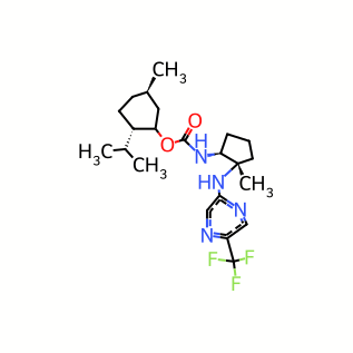 CC(C)[C@@H]1CC[C@@H](C)CC1OC(=O)N[C@H]1CCC[C@]1(C)Nc1cnc(C(F)(F)F)cn1